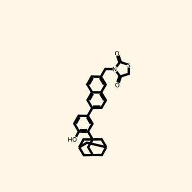 O=C1CSC(=O)N1Cc1ccc2cc(-c3ccc(O)c(C45CC6CC(CC(C6)C4)C5)c3)ccc2c1